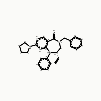 C=C[C@H]1CN(Cc2ccccc2)C(=O)c2cnc(N3CCCC3)nc2N1c1ccccc1